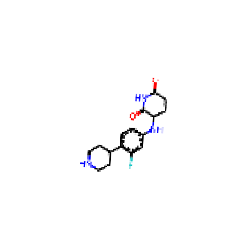 O=C1CCC(Nc2ccc(C3CCNCC3)c(F)c2)C(=O)N1